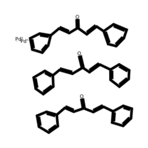 O=C(C=Cc1ccccc1)C=Cc1ccccc1.O=C(C=Cc1ccccc1)C=Cc1ccccc1.O=C(C=Cc1ccccc1)C=Cc1ccccc1.[Pd+].[Pd+]